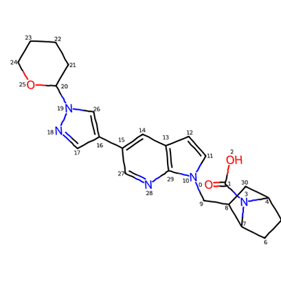 O=C(O)N1C2CCC1C(Cn1ccc3cc(-c4cnn(C5CCCCO5)c4)cnc31)C2